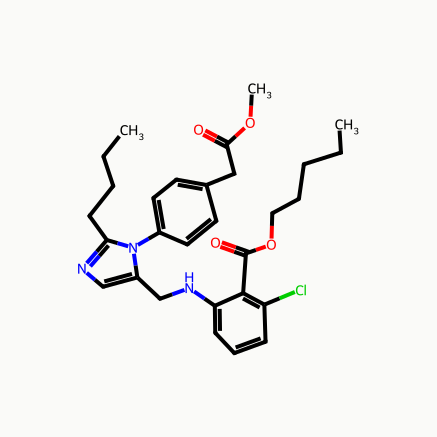 CCCCCOC(=O)c1c(Cl)cccc1NCc1cnc(CCCC)n1-c1ccc(CC(=O)OC)cc1